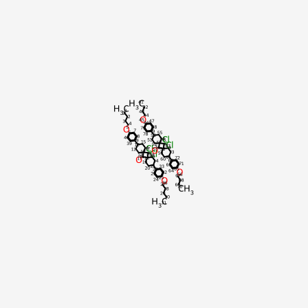 CCCCCOc1ccc(C2CCC3(CC2)C(=O)C2(CCC(c4ccc(OCCCCC)cc4)CC2)C3(Cl)Cl)cc1.CCCCOc1ccc(C2CCC3(CC2)C(=O)C2(CCC(c4ccc(OCCCC)cc4)CC2)C3(Cl)Cl)cc1